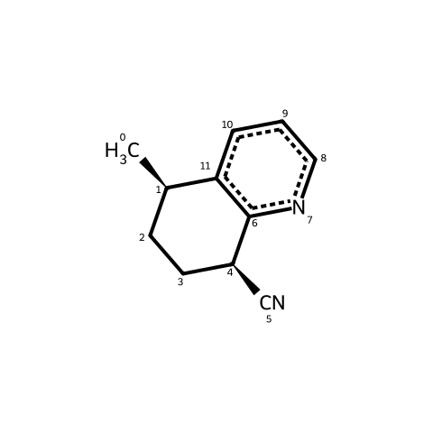 C[C@@H]1CC[C@H](C#N)c2ncccc21